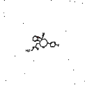 CCOC(=O)CC1COCC(c2ccc(F)cc2)CCC(C#N)(C#N)C1c1ccccc1